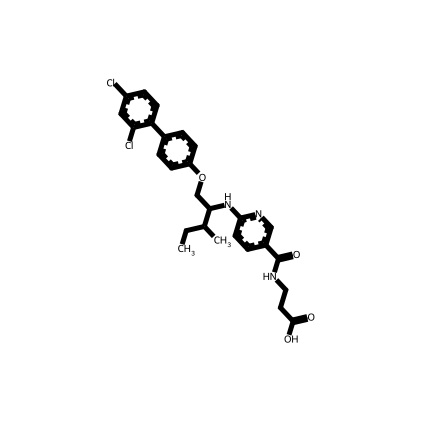 CCC(C)C(COc1ccc(-c2ccc(Cl)cc2Cl)cc1)Nc1ccc(C(=O)NCCC(=O)O)cn1